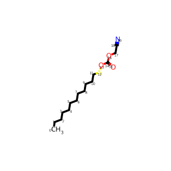 CCCCCCCCCCCCSOC(=O)OCC#N